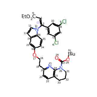 CCOC(=O)/C=C(/c1cc(Cl)cc(Cl)c1)n1ccc2cc(OCCc3ccc4c(n3)N(C(=O)OC(C)(C)C)CCC4)ccc21